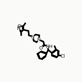 Cc1cc(Cl)ccc1C(NC(=O)CN1CCN(CCc2c(C)noc2C)CC1)c1ccccc1